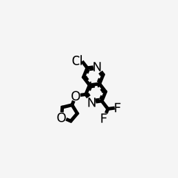 FC(F)c1cc2cnc(Cl)cc2c(OC2CCOC2)n1